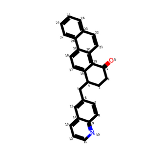 O=C1CCC([CH]c2ccc3ncccc3c2)c2ccc3c(ccc4ccccc43)c21